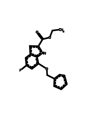 CCOC(=O)c1cc2cc(F)cc(OCc3ccccc3)c2[nH]1